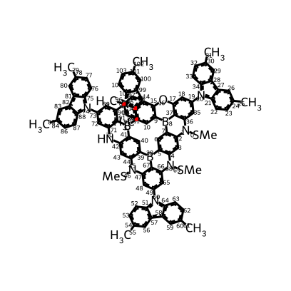 CSN1c2cc3c(cc2B2c4cc(C)ccc4Oc4cc(-n5c6ccc(C)cc6c6cc(C)ccc65)cc1c42)B1c2cc4c(cc2N(SC)c2cc(-n5c6ccc(C)cc6c6cc(C)ccc65)cc(c21)N3SC)Nc1cc(-n2c3ccc(C)cc3c3cc(C)ccc32)cc2c1B4c1cc(C)cc3c4cc(C)ccc4n-2c13